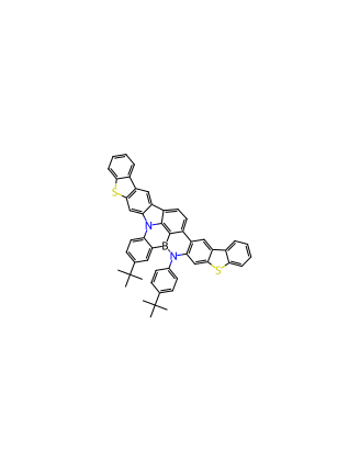 CC(C)(C)c1ccc(N2B3c4cc(C(C)(C)C)ccc4-n4c5cc6sc7ccccc7c6cc5c5ccc(c3c54)-c3cc4c(cc32)sc2ccccc24)cc1